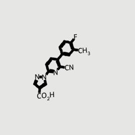 Cc1cc(-c2ccc(-n3cc(C(=O)O)cn3)nc2C#N)ccc1F